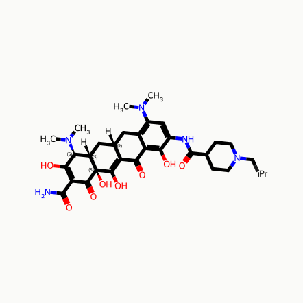 CC(C)CN1CCC(C(=O)Nc2cc(N(C)C)c3c(c2O)C(=O)C2=C(O)[C@]4(O)C(=O)C(C(N)=O)=C(O)[C@@H](N(C)C)[C@@H]4C[C@@H]2C3)CC1